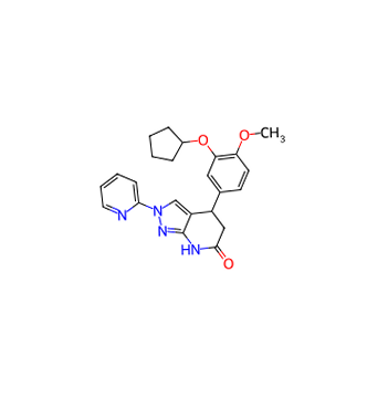 COc1ccc(C2CC(=O)Nc3nn(-c4ccccn4)cc32)cc1OC1CCCC1